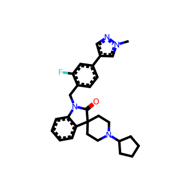 Cn1cc(-c2ccc(CN3C(=O)C4(CCN(C5CCCC5)CC4)c4ccccc43)c(F)c2)cn1